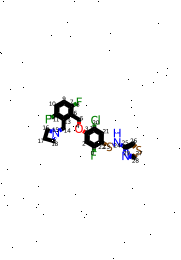 Fc1cc(OCc2c(F)ccc(F)c2CN2CCC2)c(Cl)cc1SNc1cscn1